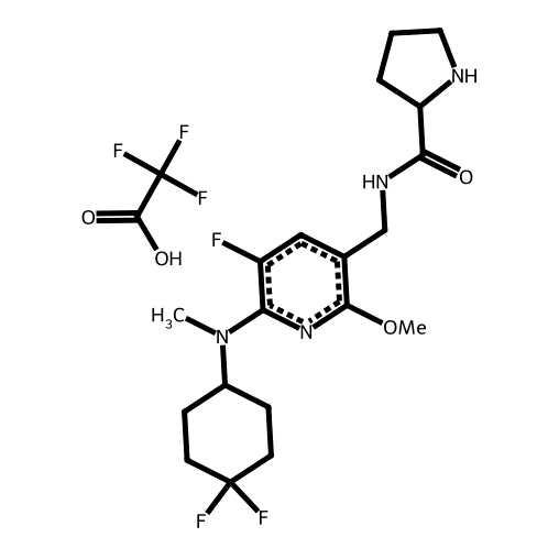 COc1nc(N(C)C2CCC(F)(F)CC2)c(F)cc1CNC(=O)C1CCCN1.O=C(O)C(F)(F)F